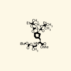 CCC(C)OC(=O)OC(C)CN[C@@H](Cc1ccc(OC(=O)OC(C)(C)CC)c(OC(=O)OC(C)(C)CC)c1)C(=O)OC